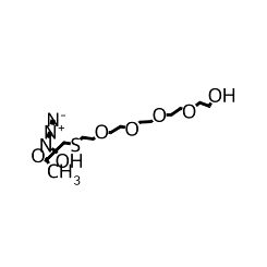 CC(=O)C(O)(CSCCOCCOCCOCCOCCO)N=[N+]=[N-]